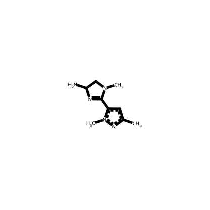 Cc1cc(C2=NC(N)CN2C)n(C)n1